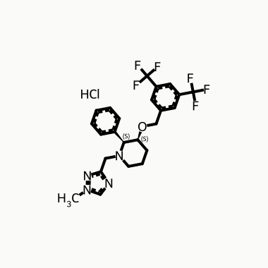 Cl.Cn1cnc(CN2CCC[C@H](OCc3cc(C(F)(F)F)cc(C(F)(F)F)c3)[C@@H]2c2ccccc2)n1